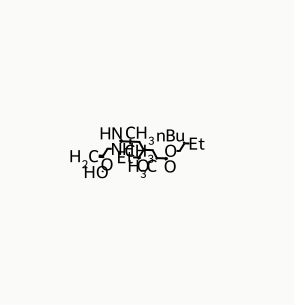 C=C(CNC(=N)C(C)(C)CC(CC(C)C(=O)OCC(CC)CCCC)C(=O)CC)OO